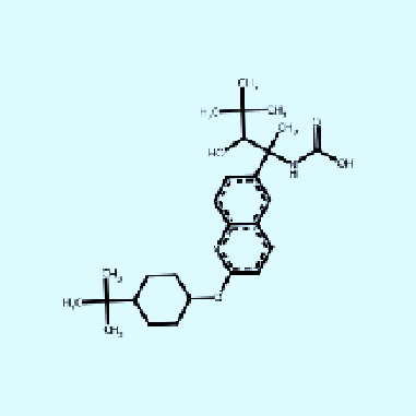 CC(C)(C)C1CCC(Oc2ccc3cc(C(C)(NC(=O)O)C(O)C(C)(C)C)ccc3n2)CC1